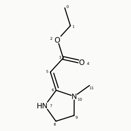 CCOC(=O)C=C1NCCN1C